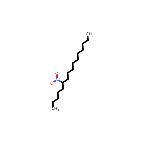 CCCCCCCCCCC(CCCCC)[N+](=O)[O-]